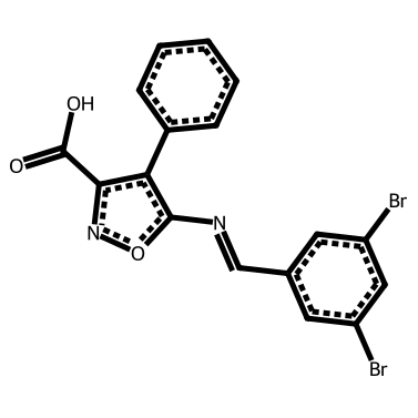 O=C(O)c1noc(/N=C/c2cc(Br)cc(Br)c2)c1-c1ccccc1